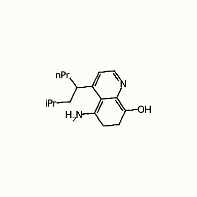 CCCC(CC(C)C)c1ccnc2c1=C(N)CCC=2O